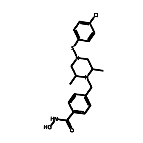 CC1CN(Sc2ccc(Cl)cc2)CC(C)N1Cc1ccc(C(=O)NO)cc1